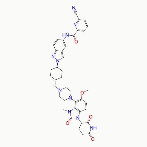 COc1ccc2c(c1N1CCN(C[C@H]3CC[C@H](n4cc5cc(NC(=O)c6cccc(C#N)n6)ccc5n4)CC3)CC1)n(C)c(=O)n2C1CCC(=O)NC1=O